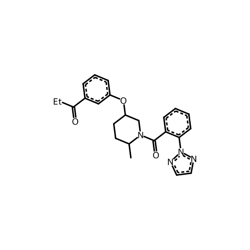 CCC(=O)c1cccc(OC2CCC(C)N(C(=O)c3ccccc3-n3nccn3)C2)c1